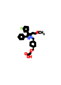 COCCc1c(-c2cccc(F)c2)c(-c2ccccc2)nn1C[C@H]1CC[C@@H](COCC(=O)O)CC1